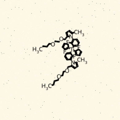 CCCCOCCOCc1ccc(C)n1-c1ccc(F)[c]([Ti]([C]2=CC=CC2)([C]2=CC=CC2)[c]2c(F)ccc(-n3c(C)ccc3COCCOCCCC)c2F)c1F